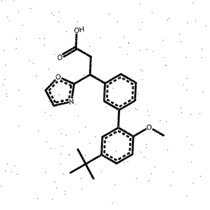 COc1ccc(C(C)(C)C)cc1-c1cccc(C(CC(=O)O)c2ncco2)c1